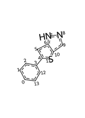 c1ccc(-c2cc3[nH]ncc3s2)cc1